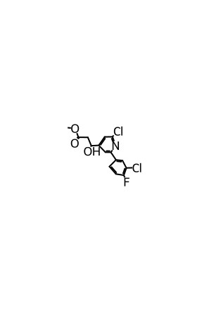 COC(=O)CC(O)c1cc(Cl)nc(-c2ccc(F)c(Cl)c2)c1